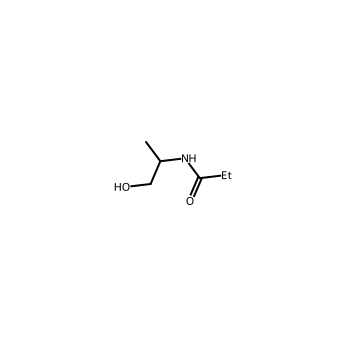 CCC(=O)NC(C)CO